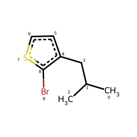 CC(C)Cc1ccsc1Br